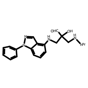 CCCNCC(O)(C=O)CNc1cccc2c1cnn2-c1ccccc1